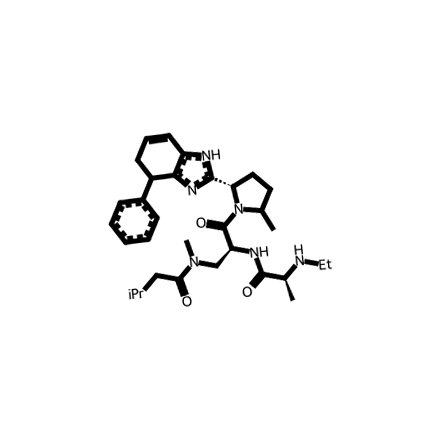 CCN[C@@H](C)C(=O)N[C@@H](CN(C)C(=O)CC(C)C)C(=O)N1C(C)CC[C@H]1c1nc2c([nH]1)C=CCC2c1ccccc1